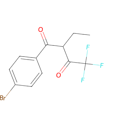 CCC(C(=O)c1ccc(Br)cc1)C(=O)C(F)(F)F